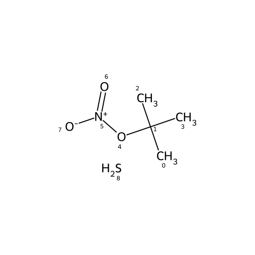 CC(C)(C)O[N+](=O)[O-].S